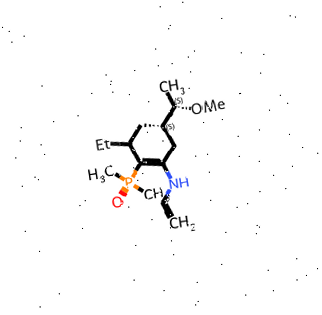 C=CNC1=C(P(C)(C)=O)C(CC)C[C@H]([C@H](C)OC)C1